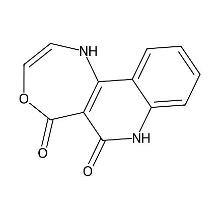 O=C1OC=CNc2c1c(=O)[nH]c1ccccc21